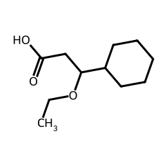 CCOC(CC(=O)O)C1CCCCC1